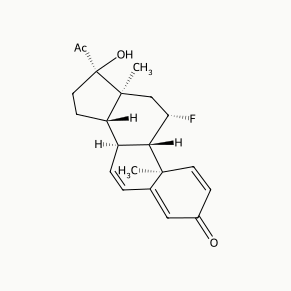 CC(=O)[C@@]1(O)CC[C@H]2[C@@H]3C=CC4=CC(=O)C=C[C@]4(C)[C@H]3[C@@H](F)C[C@@]21C